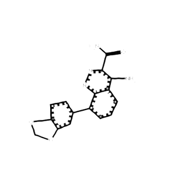 NC(=O)c1nnc2c(-c3ccc4c(c3)OCO4)cccc2c1N